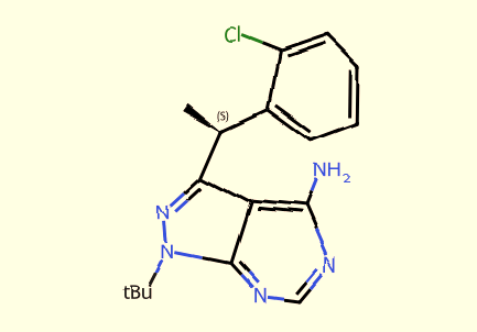 C[C@@H](c1ccccc1Cl)c1nn(C(C)(C)C)c2ncnc(N)c12